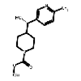 CC(C)(C)OC(=O)N1CCC([C@H](O)c2ccc(C(F)(F)F)nc2)CC1